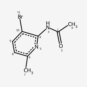 CC(=O)Nc1nc(C)ccc1Br